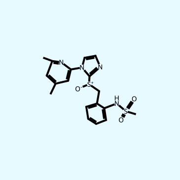 Cc1cc(C)nc(-n2ccnc2[S+]([O-])Cc2ccccc2NS(C)(=O)=O)c1